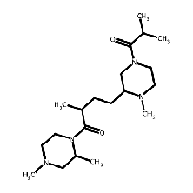 CC(C)C(=O)N1CCN(C)C(CCC(C)C(=O)N2CCN(C)CC2C)C1